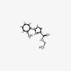 CCOC(=O)c1csc(-c2ccccc2O)n1